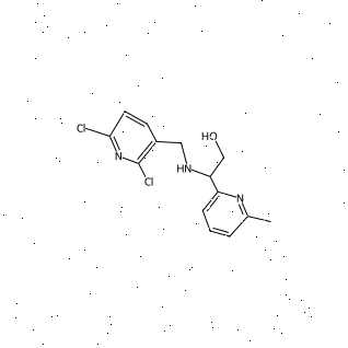 Cc1cccc(C(CO)NCc2ccc(Cl)nc2Cl)n1